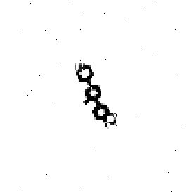 Cc1cc(C2=CCNCC2)ccc1-c1ccc2c(c1)OCO2